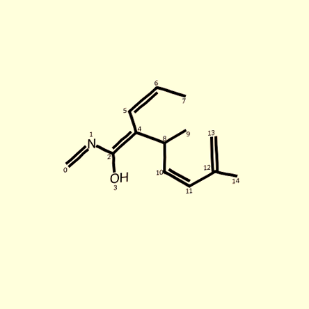 C=N/C(O)=C(\C=C/C)C(C)/C=C\C(=C)C